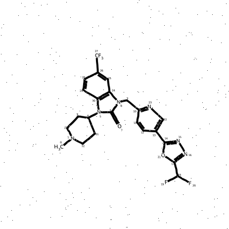 CN1CCC(n2c(=O)n(Cc3ccc(-c4nnc(C(F)F)o4)cn3)c3cc(C(F)(F)F)ccc32)CC1